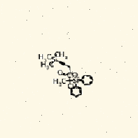 CC(C)(C)[Si](O[C@@H](C=O)CC#C[Si](C)(C)C)(c1ccccc1)c1ccccc1